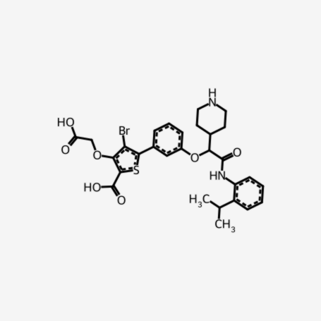 CC(C)c1ccccc1NC(=O)C(Oc1cccc(-c2sc(C(=O)O)c(OCC(=O)O)c2Br)c1)C1CCNCC1